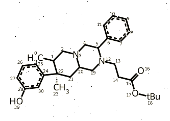 CC1CN2CC(c3ccccc3)N(CCC(=O)OC(C)(C)C)CC2C[C@@]1(C)c1cccc(O)c1